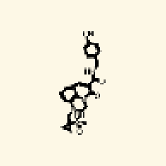 CS(=N)(=O)C1(CN2CCn3c(=O)c(C(=O)NCc4ccc(C#N)cc4)cc4cccc2c43)CC1